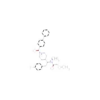 COCC(=O)N(C)C(Cc1ccc(F)cc1)C1CCN(C(=O)c2ccc(-c3ccccc3)cc2)CC1